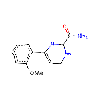 COc1ccccc1C1=C[CH]NC(C(N)=O)=N1